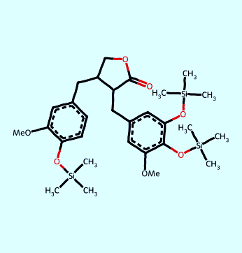 COc1cc(CC2COC(=O)C2Cc2cc(OC)c(O[Si](C)(C)C)c(O[Si](C)(C)C)c2)ccc1O[Si](C)(C)C